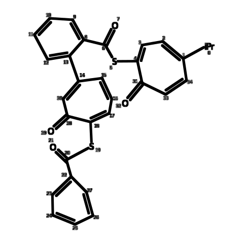 CC(C)c1ccc(SC(=O)c2ccccc2-c2cccc(SC(=O)c3ccccc3)c(=O)c2)c(=O)cc1